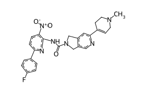 CN1CC=C(c2cc3c(cn2)CN(C(=O)Nc2nc(-c4ccc(F)cc4)ccc2[N+](=O)[O-])C3)CC1